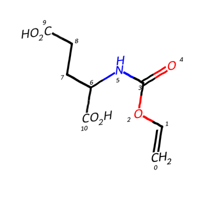 C=COC(=O)NC(CCC(=O)O)C(=O)O